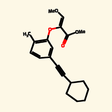 CO/C=C(\Oc1cc(C#CC2CCCCC2)ccc1C)C(=O)OC